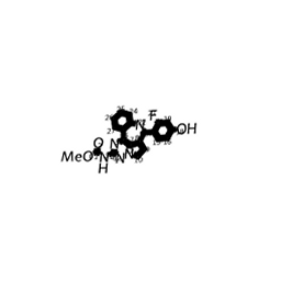 COC(=O)Nc1nc2c3c(ccn3n1)C(c1ccc(O)cc1F)=Nc1ccccc1-2